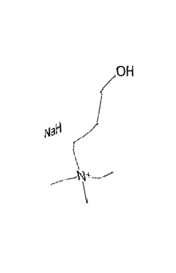 C[N+](C)(C)CCCO.[NaH]